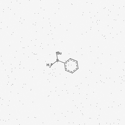 CC(C)(C)B(P)c1ccccc1